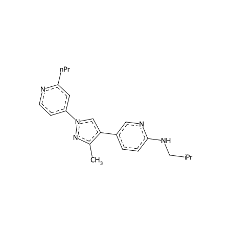 CCCc1cc(-n2cc(-c3ccc(NCC(C)C)nc3)c(C)n2)ccn1